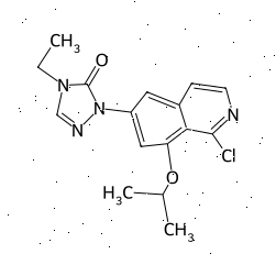 CCn1cnn(-c2cc(OC(C)C)c3c(Cl)nccc3c2)c1=O